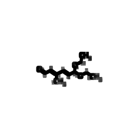 CCOC(/C=C/C(C)=C/C=O)OCC